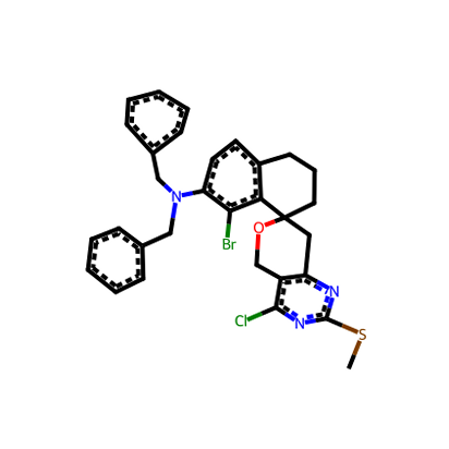 CSc1nc(Cl)c2c(n1)CC1(CCCc3ccc(N(Cc4ccccc4)Cc4ccccc4)c(Br)c31)OC2